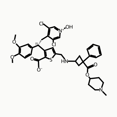 COc1ccc([C@H](Cc2c(Cl)c[n+](O)cc2Cl)c2cc(CNC3CC(C(=O)OC4CCN(C)CC4)(c4ccccc4)C3)sc2C(=O)[O-])cc1OC